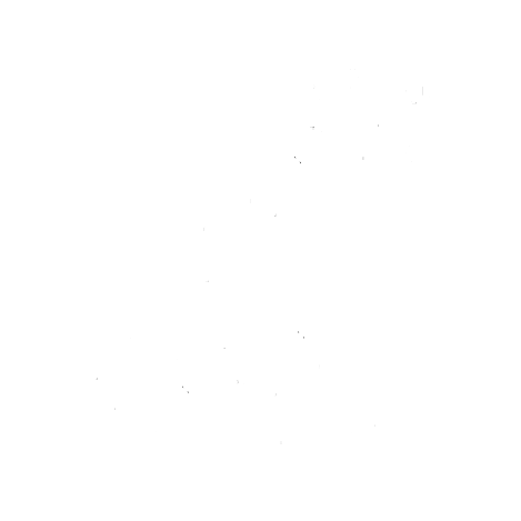 CC(Cc1ccc(-c2cc(CN3CCOCC3)c3ccc(Cl)cc3n2)cc1)NC(=O)OC(C)(C)C